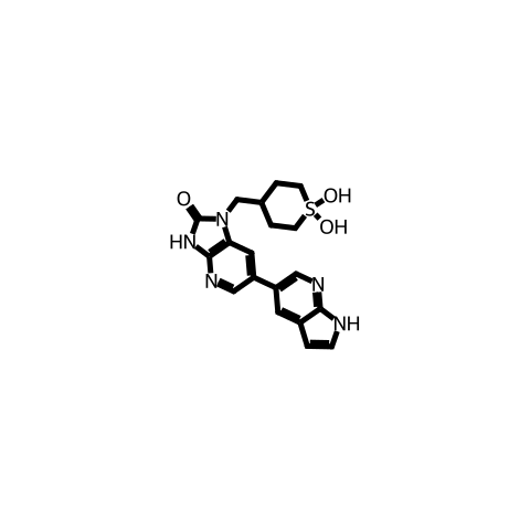 O=c1[nH]c2ncc(-c3cnc4[nH]ccc4c3)cc2n1CC1CCS(O)(O)CC1